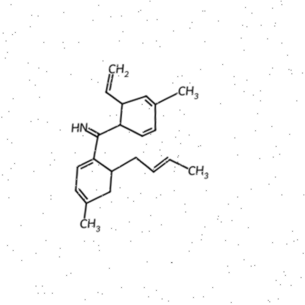 C=CC1C=C(C)C=CC1C(=N)C1=CC=C(C)CC1CC=CC